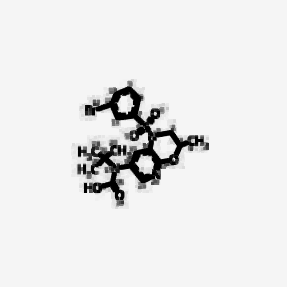 CC1CN(S(=O)(=O)c2cccc(Br)c2)c2cc(N(C(=O)O)C(C)(C)C)cnc2O1